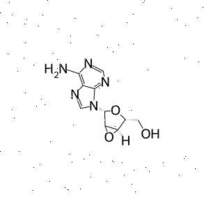 Nc1ncnc2c1ncn2[C@@H]1O[C@H](CO)[C@H]2OC12